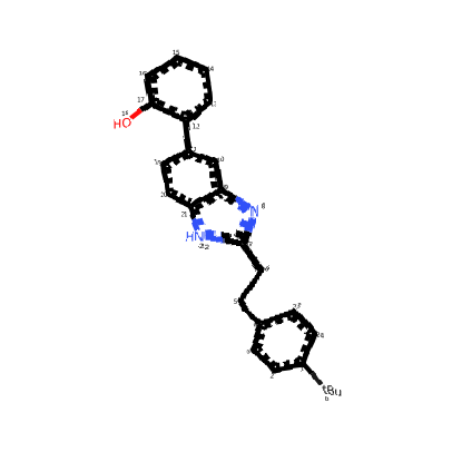 CC(C)(C)c1ccc(CCc2nc3cc(-c4ccccc4O)ccc3[nH]2)cc1